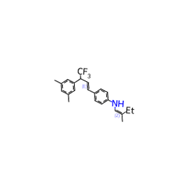 CC/C(C)=C\Nc1ccc(/C=C/C(c2cc(C)cc(C)c2)C(F)(F)F)cc1